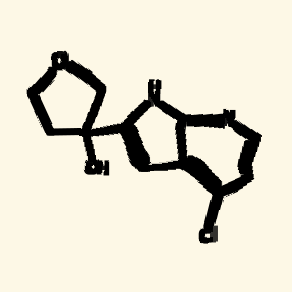 OC1(c2cc3c(Cl)ccnc3[nH]2)CCOC1